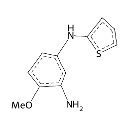 COc1ccc(Nc2cccs2)cc1N